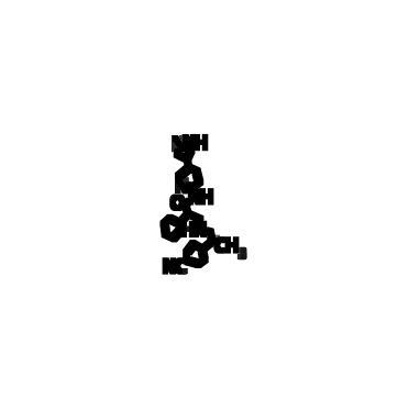 C[C@H](CNCC(C(=O)Nc1ccc(-c2cn[nH]c2)cn1)c1ccccc1)c1ccc(C#N)cc1